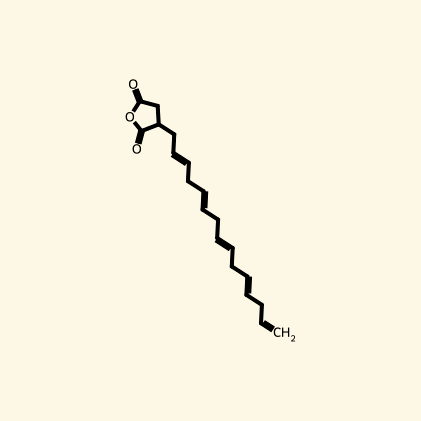 C=CC/C=C/C/C=C/C/C=C/C/C=C/CC1CC(=O)OC1=O